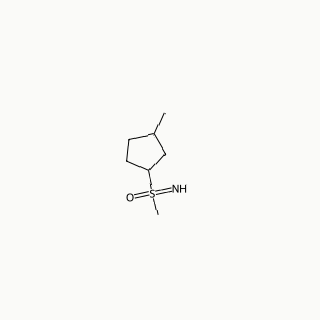 CC1CCC(S(C)(=N)=O)C1